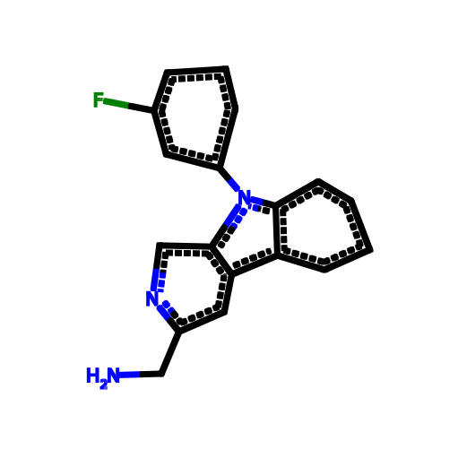 NCc1cc2c3ccccc3n(-c3cccc(F)c3)c2cn1